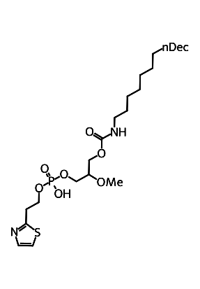 CCCCCCCCCCCCCCCCCNC(=O)OCC(COP(=O)(O)OCCc1nccs1)OC